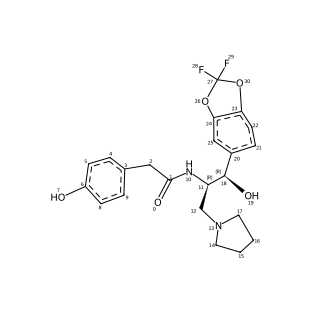 O=C(Cc1ccc(O)cc1)N[C@H](CN1CCCC1)[C@H](O)c1ccc2c(c1)OC(F)(F)O2